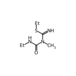 CCNC(=O)N(C)C(=N)SCC